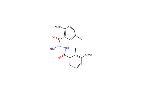 COc1ccc(C)cc1C(=O)N(NC(=O)c1cccc(OC)c1C)C(C)(C)C